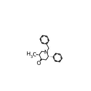 C[C@H]1CN(Cc2ccccc2)[C@H](c2ccccc2)CC1=O